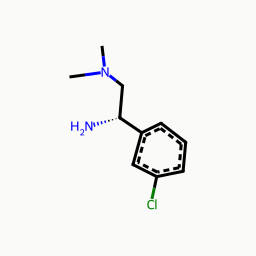 CN(C)C[C@@H](N)c1cccc(Cl)c1